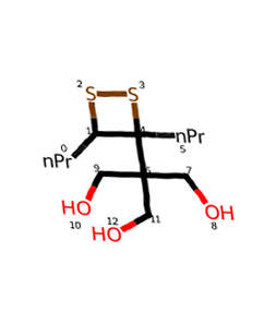 CCCC1SSC1(CCC)C(CO)(CO)CO